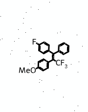 COc1ccc(C(=C(c2ccccc2)c2ccc(F)cc2)C(F)(F)F)cc1